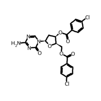 Nc1ncn([C@H]2C[C@@H](OC(=O)c3ccc(Cl)cc3)[C@@H](COC(=O)c3ccc(Cl)cc3)O2)c(=O)n1